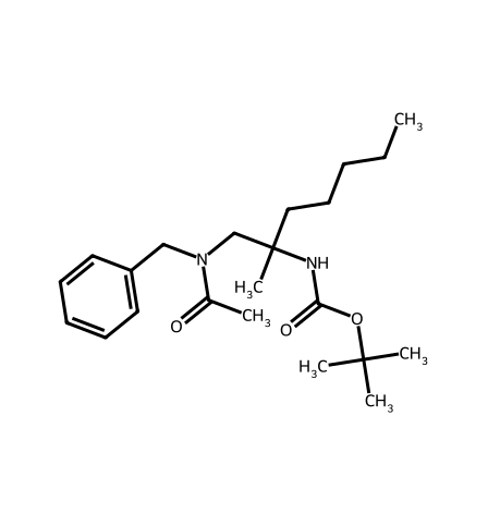 CCCCCC(C)(CN(Cc1ccccc1)C(C)=O)NC(=O)OC(C)(C)C